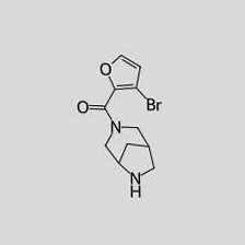 O=C(c1occc1Br)N1CC2CNC(C2)C1